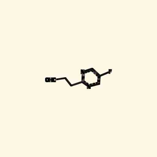 O=CCCc1ncc(F)cn1